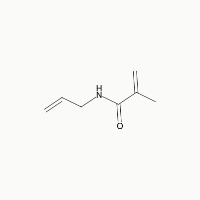 C=CCNC(=O)C(=C)C